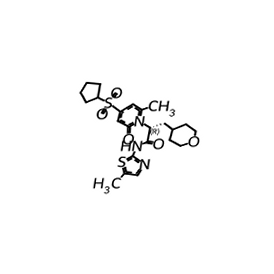 Cc1cnc(NC(=O)[C@@H](CC2CCOCC2)n2c(C)cc(S(=O)(=O)C3CCCC3)cc2=O)s1